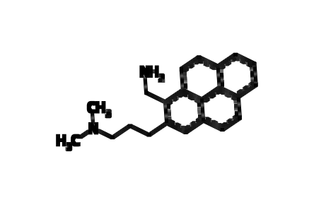 CN(C)CCCc1cc2ccc3cccc4ccc(c1CN)c2c34